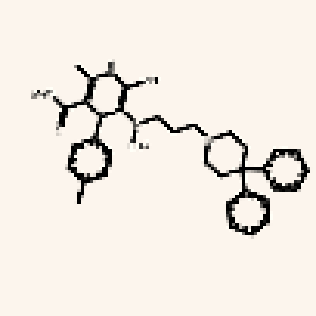 CCCC1=C(N(C=O)CCCN2CCC(c3ccccc3)(c3ccccc3)CC2)C(c2ccc(C)cc2)C(C(=O)OC)=C(C)N1